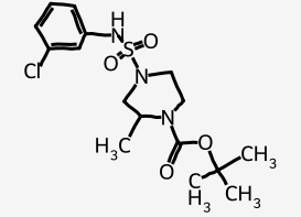 CC1CN(S(=O)(=O)Nc2cccc(Cl)c2)CCN1C(=O)OC(C)(C)C